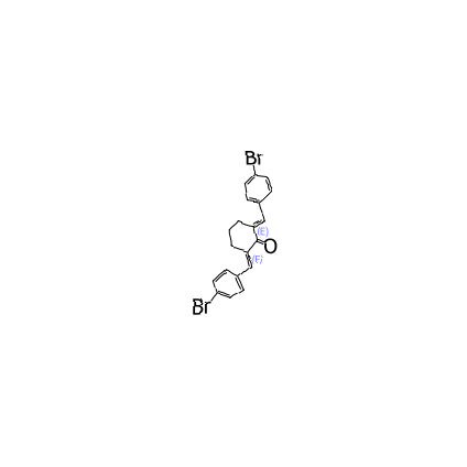 O=C1/C(=C/c2ccc(Br)cc2)CCC/C1=C\c1ccc(Br)cc1